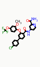 COc1cc(OC(F)(F)F)ccc1Oc1cc(-c2ccc(Cl)cc2)ccc1C(=O)Nc1ccnc(C(N)=O)c1